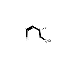 CC/C=C\[C@H](C)CC=O